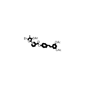 CC[C@H]1O[C@@H]([n+]2cccc(C(=O)Oc3ccc(/C=C/c4cc(OC(C)=O)cc(OC(C)=O)c4)cc3)c2)[C@H](OC(C)=O)[C@@H]1C